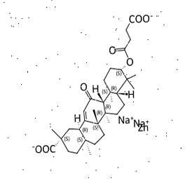 CC1(C)[C@@H](OC(=O)CCC(=O)[O-])CC[C@]2(C)[C@H]3C(=O)C=C4[C@@H]5C[C@@](C)(C(=O)[O-])CC[C@]5(C)CC[C@@]4(C)[C@]3(C)CC[C@@H]12.[Na+].[Na+].[Zn]